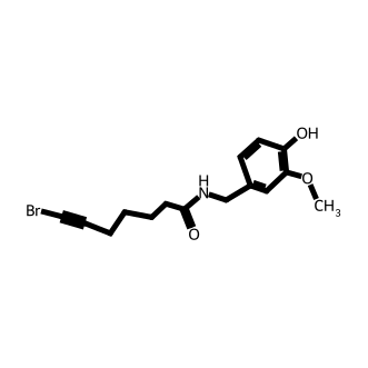 COc1cc(CNC(=O)CCCCC#CBr)ccc1O